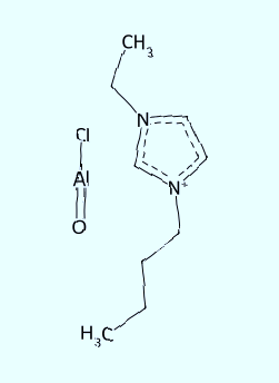 CCCC[n+]1ccn(CC)c1.[O]=[Al][Cl]